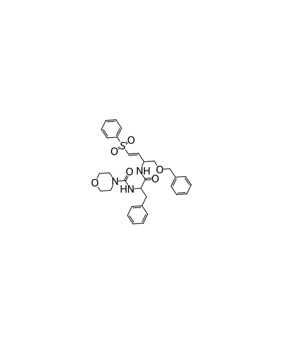 O=C(NC(C=CS(=O)(=O)c1ccccc1)COCc1ccccc1)C(Cc1ccccc1)NC(=O)N1CCOCC1